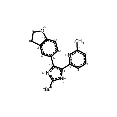 Cc1cccc(-c2[nH]c(C(C)(C)C)nc2-c2ccc3c(c2)CCO3)n1